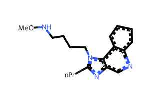 CCCc1nc2cnc3ccccc3c2n1CCCCNOC